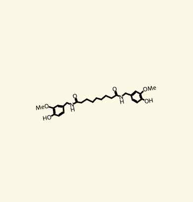 COc1cc(CNC(=O)CCCCCCCC(=O)NCc2ccc(O)c(OC)c2)ccc1O